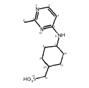 Cc1nccc(NC2CCC(CS(=O)(=O)O)CC2)n1